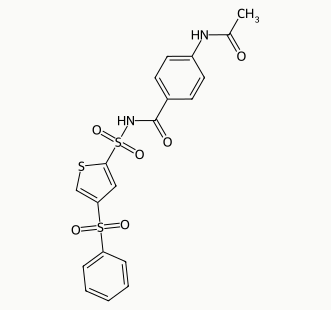 CC(=O)Nc1ccc(C(=O)NS(=O)(=O)c2cc(S(=O)(=O)c3ccccc3)cs2)cc1